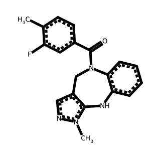 Cc1ccc(C(=O)N2Cc3cnn(C)c3Nc3ccccc32)cc1F